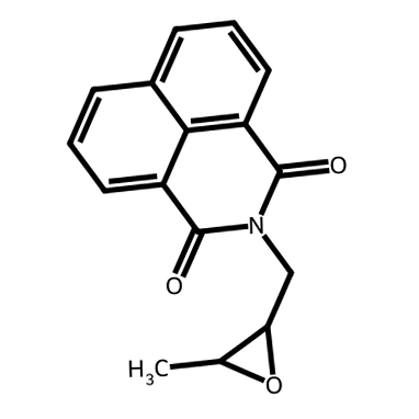 CC1OC1CN1C(=O)c2cccc3cccc(c23)C1=O